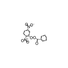 O=C(OOc1cc([N+](=O)[O-])ccc1[N+](=O)[O-])c1ccccc1